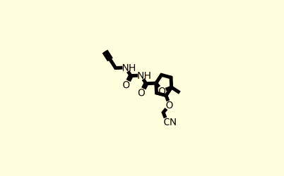 C#CCNC(=O)NC(=O)C12CCC(C)(O1)C(OCC#N)C2